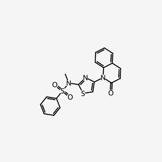 CN(c1nc(-n2c(=O)ccc3ccccc32)cs1)S(=O)(=O)c1ccccc1